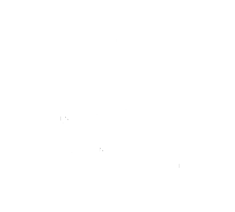 Nc1cc(Sc2ccc(F)cc2)c(-c2ccc(F)cc2)nc1C(=O)O